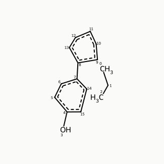 CCC.Oc1ccc(-c2ccccc2)cc1